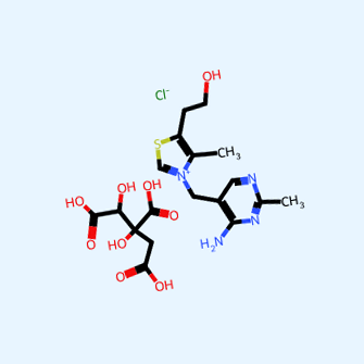 Cc1ncc(C[n+]2csc(CCO)c2C)c(N)n1.O=C(O)CC(O)(C(=O)O)C(O)C(=O)O.[Cl-]